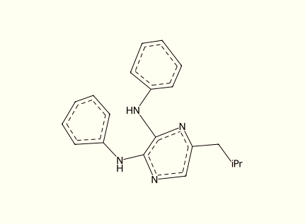 CC(C)Cc1cnc(Nc2ccccc2)c(Nc2ccccc2)n1